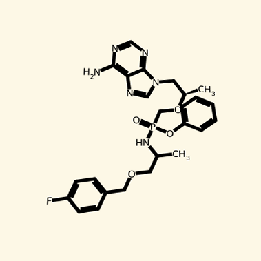 CC(COCc1ccc(F)cc1)NP(=O)(CO[C@H](C)Cn1cnc2c(N)ncnc21)Oc1ccccc1